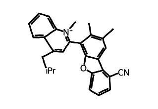 Cc1cc2c(oc3cccc(C#N)c32)c(-c2cc(CC(C)C)c3ccccc3[n+]2C)c1C